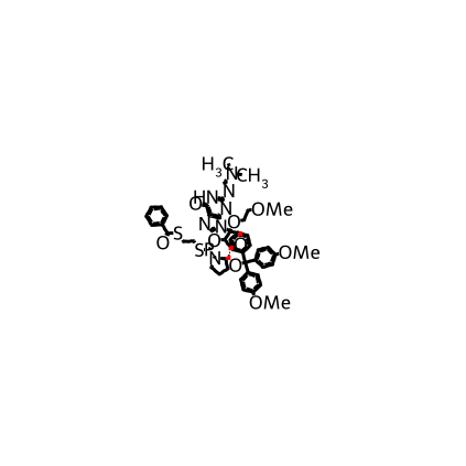 COCCOC1(n2cnc3c(=O)[nH]c(/N=C/N(C)C)nc32)CO[C@H](COC(c2ccccc2)(c2ccc(OC)cc2)c2ccc(OC)cc2)C1OP(SCCSC(=O)c1ccccc1)N1CCCC1